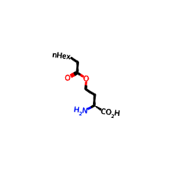 CCCCCCCC(=O)OCC[C@H](N)C(=O)O